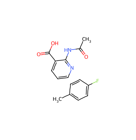 CC(=O)Nc1ncccc1C(=O)O.Cc1ccc(F)cc1